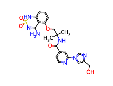 CC(C)(COc1cccc2c1C(N)=NS(=O)(=O)N2)NC(=O)c1ccnc(-n2cnc(CO)c2)c1